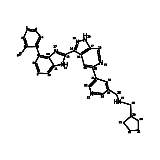 Fc1ccccc1-c1cccc2[nH]c(-c3n[nH]c4cnc(-c5cncc(CNCC6CCCC6)c5)cc34)nc12